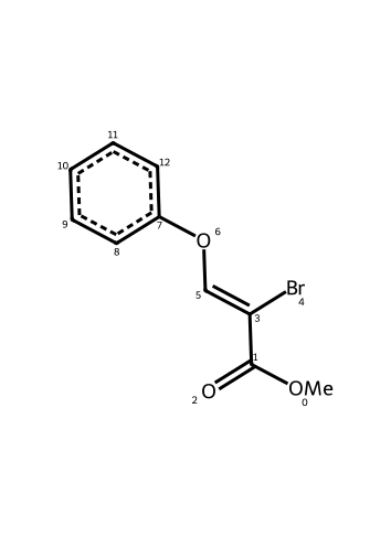 COC(=O)C(Br)=COc1ccccc1